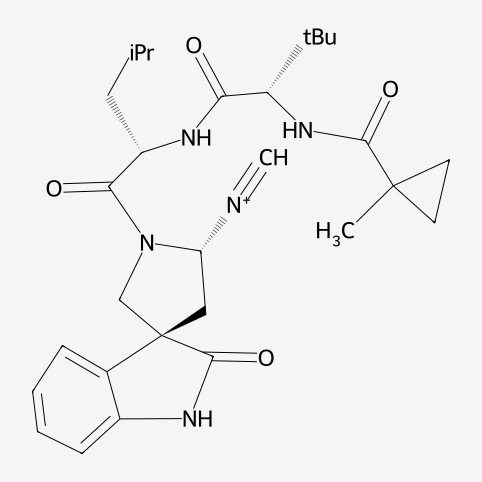 C#[N+][C@@H]1C[C@@]2(CN1C(=O)[C@H](CC(C)C)NC(=O)[C@@H](NC(=O)C1(C)CC1)C(C)(C)C)C(=O)Nc1ccccc12